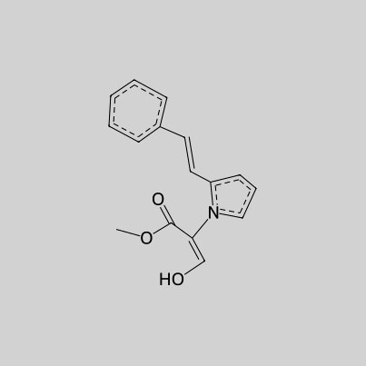 COC(=O)C(=CO)n1cccc1C=Cc1ccccc1